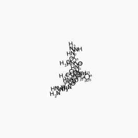 CC(=O)N[C@@H](CCCNC(=N)N)C(=O)NCC(=O)N[C@@H](CC1CCCCC1)C(=O)N[C@@H](C(=O)N[C@@H](CCCNC(=N)N)C(N)=O)C(C)C